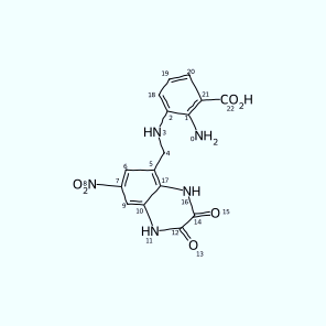 Nc1c(NCc2cc([N+](=O)[O-])cc3[nH]c(=O)c(=O)[nH]c23)cccc1C(=O)O